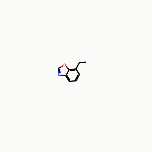 CCc1cccc2ncoc12